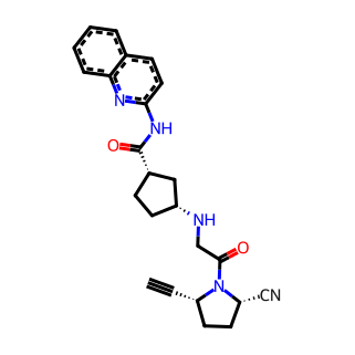 C#C[C@H]1CC[C@@H](C#N)N1C(=O)CN[C@@H]1CC[C@H](C(=O)Nc2ccc3ccccc3n2)C1